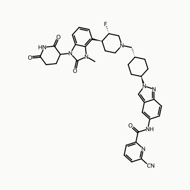 Cn1c(=O)n(C2CCC(=O)NC2=O)c2cccc([C@@H]3CCN(C[C@H]4CC[C@H](n5cc6cc(NC(=O)c7cccc(C#N)n7)ccc6n5)CC4)C[C@H]3F)c21